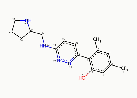 Cc1cc(C(F)(F)F)cc(O)c1-c1ccc(NCC2CCCN2)nn1